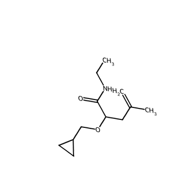 C=C(C)CC(OCC1CC1)C(=O)NCC